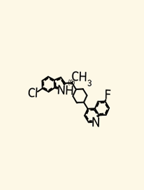 C[C@H](c1cc2ccc(Cl)cc2[nH]1)C1CCC(c2ccnc3ccc(F)cc23)CC1